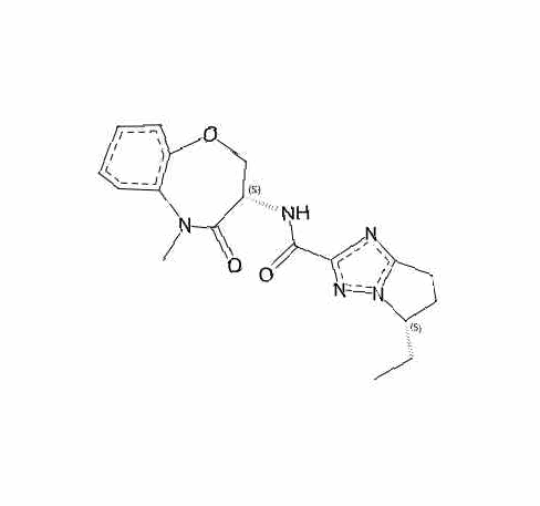 CC[C@H]1CCc2nc(C(=O)N[C@H]3COc4ccccc4N(C)C3=O)nn21